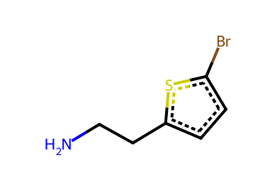 NCCc1ccc(Br)s1